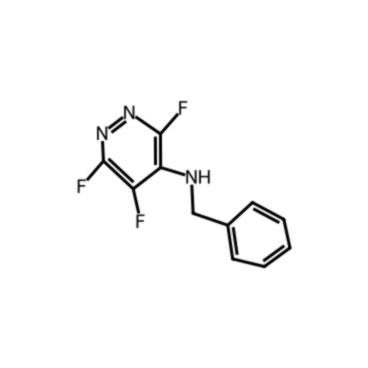 Fc1nnc(F)c(NCc2ccccc2)c1F